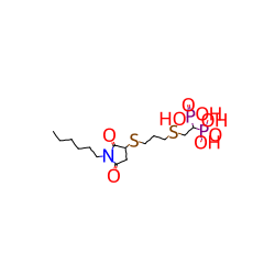 CCCCCCN1C(=O)CC(SCCCSCC(P(=O)(O)O)P(=O)(O)O)C1=O